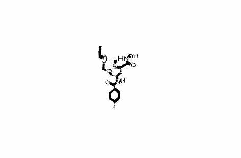 CCOCOC[C@H](C[C@H](SC)C(=O)NO)NC(=O)[C@H]1CC[C@H](C)CC1